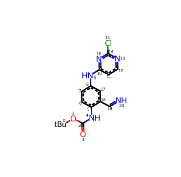 CC(C)(C)OC(=O)Nc1ccc(Nc2ccnc(Cl)n2)cc1C=N